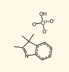 CC1=Nc2ccccc2C1(C)C.[O-][Cl+3]([O-])([O-])O